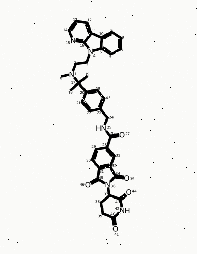 CN(CCn1c2ccccc2c2cccnc21)C(C)(C)c1ccc(CNC(=O)c2ccc3c(c2)C(=O)N(C2CCC(=O)NC2=O)C3=O)cc1